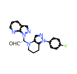 O=C[C@@H](N1CCCc2c1cnn2-c1ccc(F)cc1)n1ncc2cccnc21